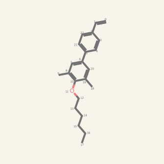 C=Cc1ccc(-c2cc(C)c(OCCCCCC)c(C)c2)cc1